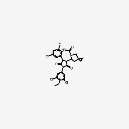 COc1c(Cl)cc(N2C(=O)C3c4cc(Cl)cc(Cl)c4NC(=O)N4CC5(CC5)CC4C3C2=O)cc1Cl